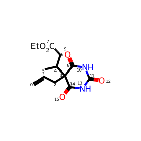 C=CCC1(C(C)CC(=O)OCC)C(=O)NC(=O)NC1=O